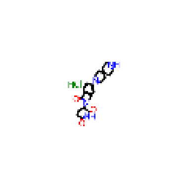 Cl.O=C1CCC(N2Cc3cc(N4CCC5(CCNCC5)CC4)ccc3C2=O)C(=O)N1